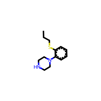 CCCSc1ccccc1N1CCNCC1